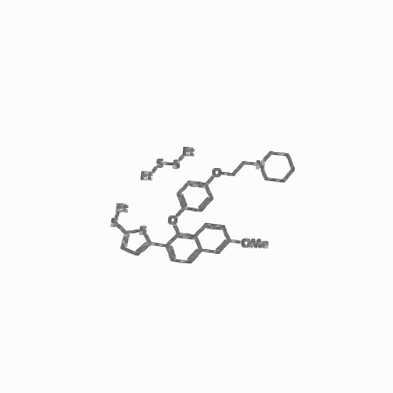 CCSSCC.CCSc1ccc(-c2ccc3cc(OC)ccc3c2Oc2ccc(OCCN3CCCCC3)cc2)s1